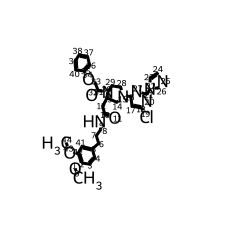 COc1ccc(CCCNC(=O)CC2CN(c3cc(Cl)nc(-n4ccnc4)n3)CCN2C(=O)COc2ccccc2)cc1OC